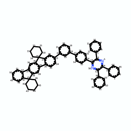 c1ccc(-c2nc(-c3ccccc3)c(-c3ccc(-c4cccc(-c5ccc6c(c5)C5(CCCCC5)c5cc7c(cc5-6)C5(CCCCC5)c5ccccc5-7)c4)cc3)nc2-c2ccccc2)cc1